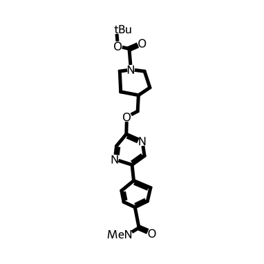 CNC(=O)c1ccc(-c2cnc(OCC3CCN(C(=O)OC(C)(C)C)CC3)cn2)cc1